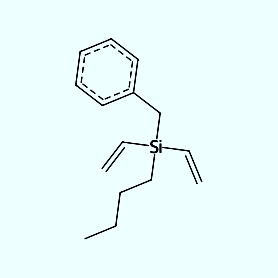 C=C[Si](C=C)(CCCC)Cc1ccccc1